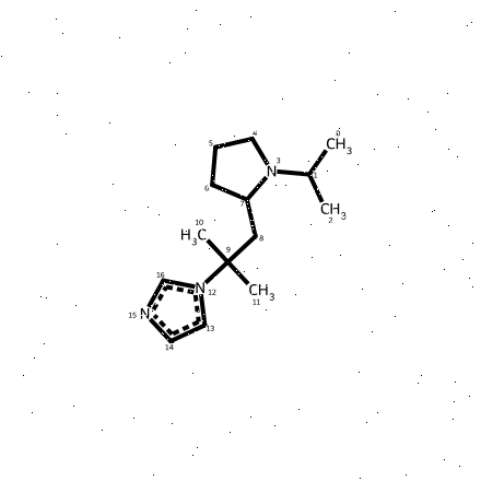 CC(C)N1CCCC1CC(C)(C)n1ccnc1